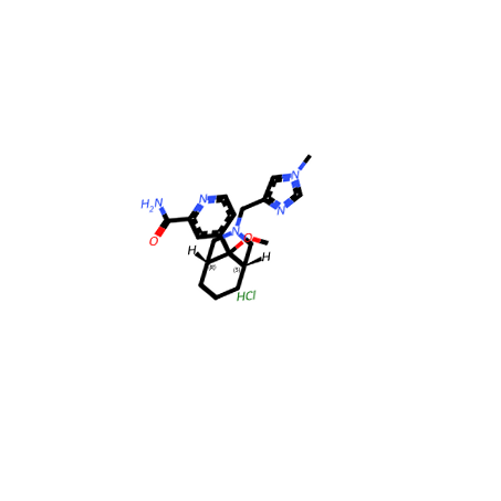 COC1(c2ccnc(C(N)=O)c2)[C@@H]2CCC[C@H]1CN(Cc1cn(C)cn1)C2.Cl